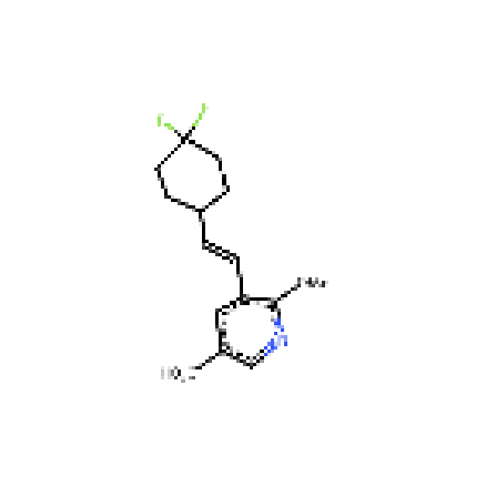 COc1ncc(C(=O)O)cc1/C=C/C1CCC(F)(F)CC1